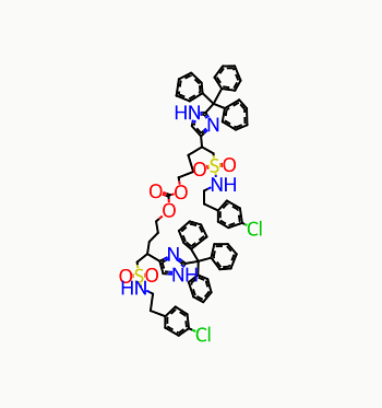 O=C(OCCCC(CS(=O)(=O)NCCc1ccc(Cl)cc1)c1c[nH]c(C(c2ccccc2)(c2ccccc2)c2ccccc2)n1)OCCCC(CS(=O)(=O)NCCc1ccc(Cl)cc1)c1c[nH]c(C(c2ccccc2)(c2ccccc2)c2ccccc2)n1